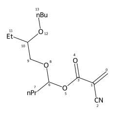 C=C(C#N)C(=O)OC(CCC)OCC(CC)OCCCC